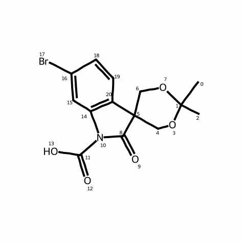 CC1(C)OCC2(CO1)C(=O)N(C(=O)O)c1cc(Br)ccc12